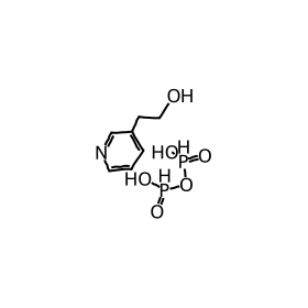 O=[PH](O)O[PH](=O)O.OCCc1cccnc1